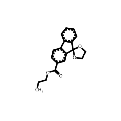 CCCOC(=O)c1ccc2c(c1)C1(OCCO1)c1ccccc1-2